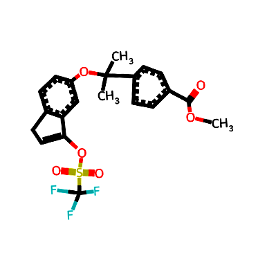 COC(=O)c1ccc(C(C)(C)Oc2ccc3c(c2)C(OS(=O)(=O)C(F)(F)F)=CC3)cc1